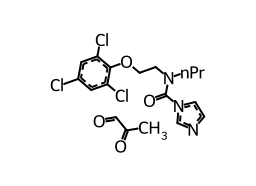 CC(=O)C=O.CCCN(CCOc1c(Cl)cc(Cl)cc1Cl)C(=O)n1ccnc1